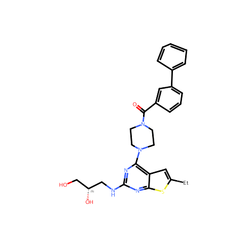 CCc1cc2c(N3CCN(C(=O)c4cccc(-c5ccccc5)c4)CC3)nc(NC[C@H](O)CO)nc2s1